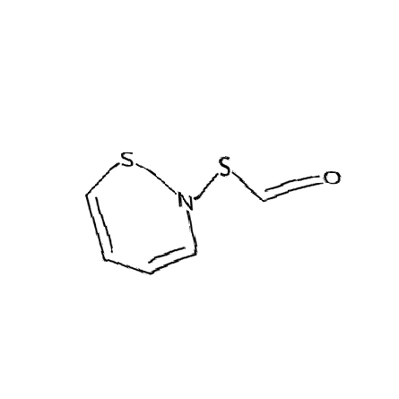 O=CSN1C=CC=CS1